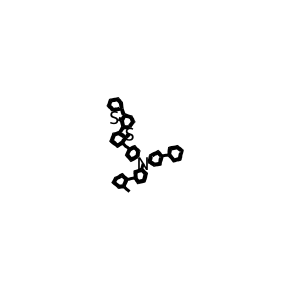 Cc1ccccc1-c1cccc(N(c2ccc(-c3ccccc3)cc2)c2ccc(-c3cccc4c3sc3ccc5c6ccccc6sc5c34)cc2)c1